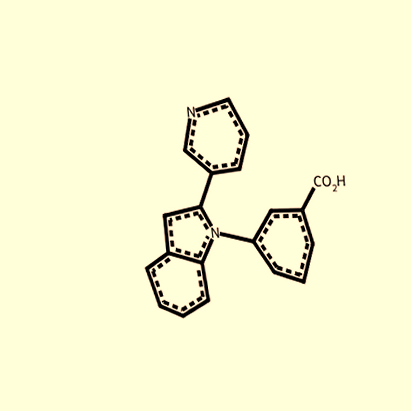 O=C(O)c1cccc(-n2c(-c3cccnc3)cc3ccccc32)c1